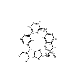 CCN(CC)Cc1cccc(-c2cc(Nc3ccc(CS(=O)(=O)NC4CCCC4)cc3)ncn2)c1